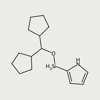 c1c[nH]c([SiH2]OC(C2CCCC2)C2CCCC2)c1